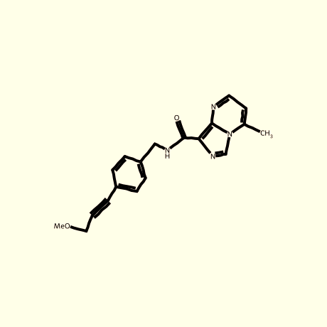 COCC#Cc1ccc(CNC(=O)c2ncn3c(C)ccnc23)cc1